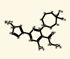 COC(=O)c1c(C)nc(-c2cnn(C)c2)nc1N1CCCC(F)(F)CC1